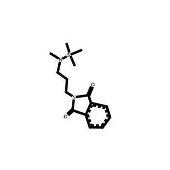 CN(CCCN1C(=O)c2ccccc2C1=O)[Si](C)(C)C